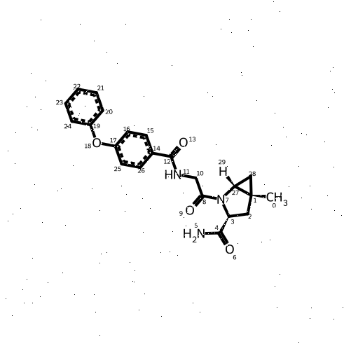 C[C@@]12C[C@@H](C(N)=O)N(C(=O)CNC(=O)c3ccc(Oc4ccccc4)cc3)[C@@H]1C2